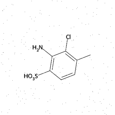 Cc1ccc(S(=O)(=O)O)c(N)c1Cl